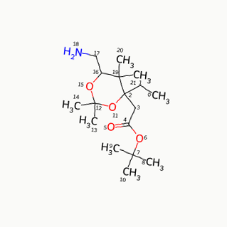 CCC1(CC(=O)OC(C)(C)C)OC(C)(C)OC(CN)C1(C)C